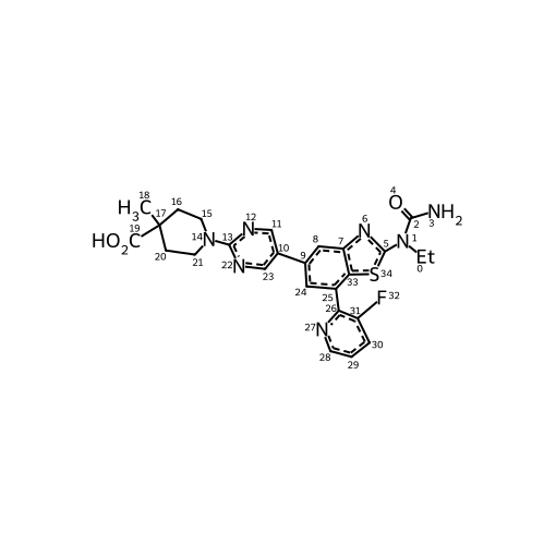 CCN(C(N)=O)c1nc2cc(-c3cnc(N4CCC(C)(C(=O)O)CC4)nc3)cc(-c3ncccc3F)c2s1